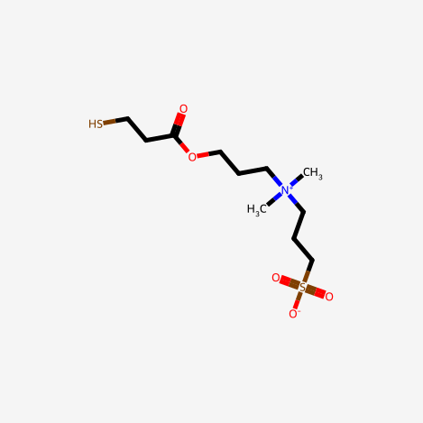 C[N+](C)(CCCOC(=O)CCS)CCCS(=O)(=O)[O-]